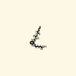 CCCCCC(=S)NCC(=O)NCC[C@H]1[C@@H](C/C=C\CCCC(=O)O)[C@H]2CC[C@@H]1O2